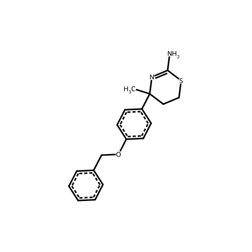 CC1(c2ccc(OCc3ccccc3)cc2)CCSC(N)=N1